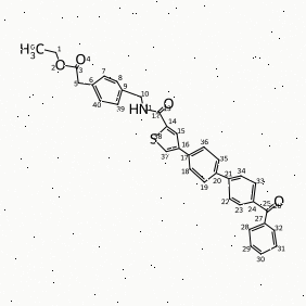 CCOC(=O)Cc1ccc(CNC(=O)c2cc(-c3ccc(-c4ccc(C(=O)c5ccccc5)cc4)cc3)cs2)cc1